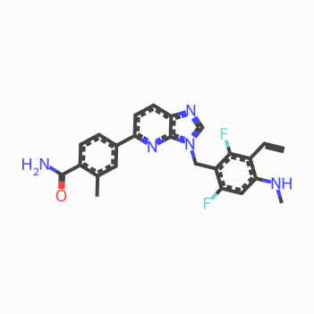 C=Cc1c(NC)cc(F)c(Cn2cnc3ccc(-c4ccc(C(N)=O)c(C)c4)nc32)c1F